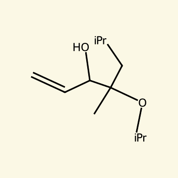 C=CC(O)C(C)(CC(C)C)OC(C)C